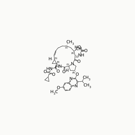 COc1ccc2nc(C(C)C)c(O[C@@H]3C[C@H]4C(=O)N[C@]5(C(=O)NS(=O)(=O)C6CC6)C[C@H]5C=CCC[C@H](C)C[C@@H](C)[C@H](NC(=O)O)C(=O)N4C3)nc2c1